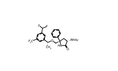 CC(=O)N[C@H]1C[C@@](CO[C@H](C)c2cc(C(F)F)cc(C(F)(F)F)c2)(c2ccccc2)NC1=O